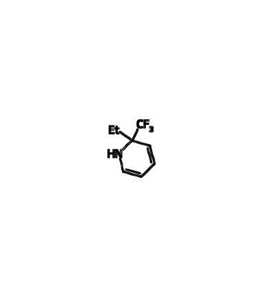 CCC1(C(F)(F)F)C=CC=CN1